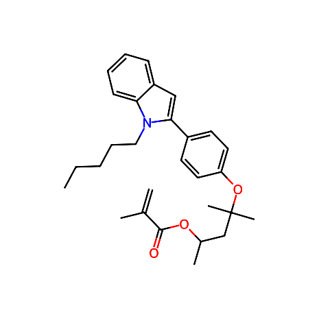 C=C(C)C(=O)OC(C)CC(C)(C)Oc1ccc(-c2cc3ccccc3n2CCCCC)cc1